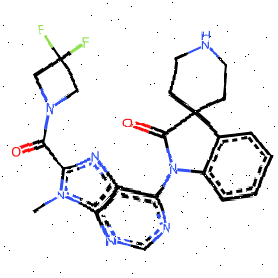 Cn1c(C(=O)N2CC(F)(F)C2)nc2c(N3C(=O)C4(CCNCC4)c4ccccc43)ncnc21